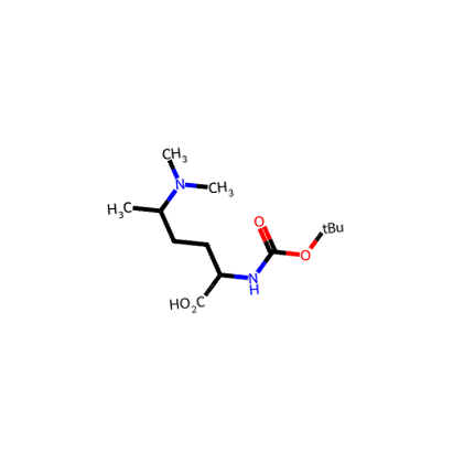 CC(CCC(NC(=O)OC(C)(C)C)C(=O)O)N(C)C